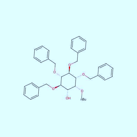 CCCCO[C@@H]1[C@H](O)[C@@H](OCc2ccccc2)[C@H](OCc2ccccc2)[C@@H](OCc2ccccc2)[C@@H]1OCc1ccccc1